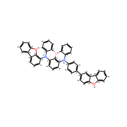 c1ccc2c(c1)B1c3ccccc3N(c3cccc4c3oc3ccccc34)c3cccc(c31)N2c1ccc(-c2ccc3oc4ccccc4c3c2)cc1